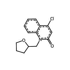 O=c1cc(Cl)c2ccccc2n1CC1CCCO1